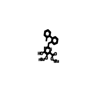 CCCCOc1c(O)nc(Cc2ccccc2-c2ccccc2C)nc1C(=O)OC(C)(C)C